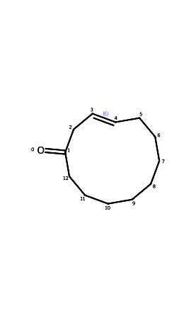 O=C1C/C=C/CCCCCCCC1